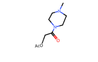 CC(=O)OCC(=O)N1CCN(C)CC1